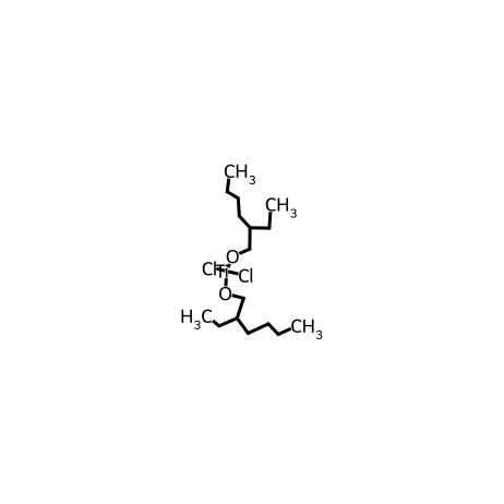 CCCCC(CC)C[O][Ti]([Cl])([Cl])[O]CC(CC)CCCC